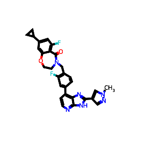 Cn1cc(-c2nc3c(-c4ccc(CN5CCOc6cc(C7CC7)cc(F)c6C5=O)c(F)c4)ccnc3[nH]2)cn1